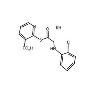 O=C(CNc1ccccc1Cl)Sc1ncccc1C(=O)O.[KH]